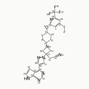 CCc1cc(OC2CCC(N3CC(CC#N)(n4cc(-c5ncnc6[nH]ccc56)cn4)C3)CC2)nc(C(F)(F)F)c1